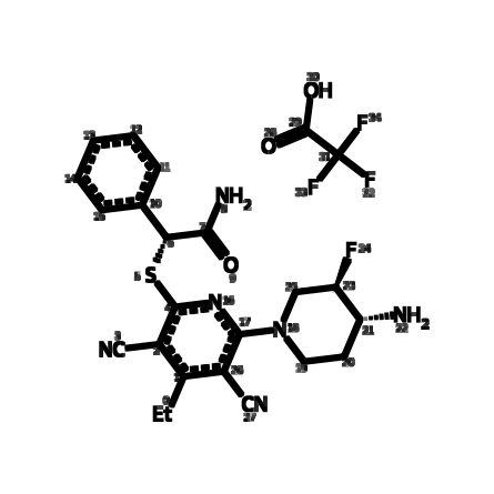 CCc1c(C#N)c(S[C@@H](C(N)=O)c2ccccc2)nc(N2CC[C@@H](N)[C@H](F)C2)c1C#N.O=C(O)C(F)(F)F